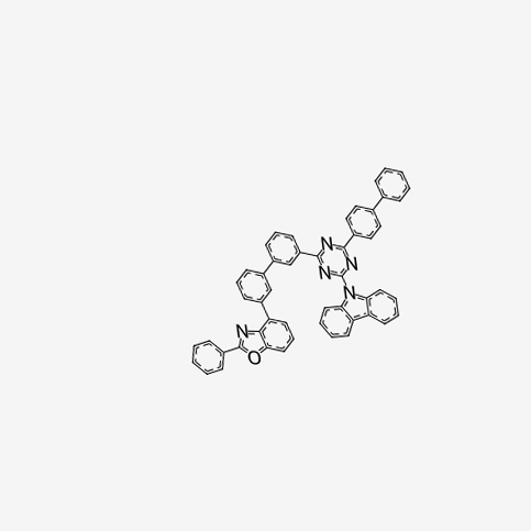 c1ccc(-c2ccc(-c3nc(-c4cccc(-c5cccc(-c6cccc7oc(-c8ccccc8)nc67)c5)c4)nc(-n4c5ccccc5c5ccccc54)n3)cc2)cc1